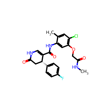 CNC(=O)COc1cc(NC(=O)C2=CNC(=O)C[C@H]2c2ccc(F)cc2)c(C)cc1Cl